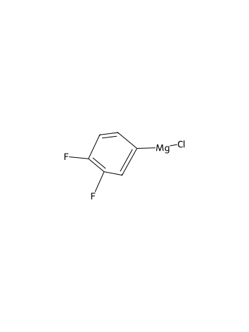 Fc1cc[c]([Mg][Cl])cc1F